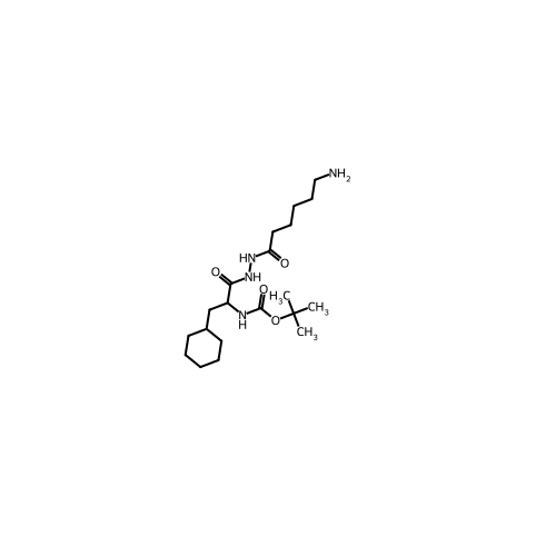 CC(C)(C)OC(=O)NC(CC1CCCCC1)C(=O)NNC(=O)CCCCCN